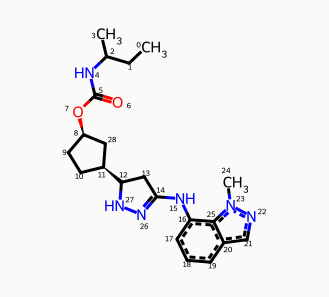 CCC(C)NC(=O)O[C@@H]1CC[C@H](C2CC(Nc3cccc4cnn(C)c34)=NN2)C1